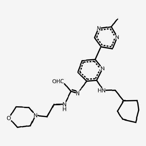 Cc1ncc(-c2ccc(/N=C(\C=O)NCCN3CCOCC3)c(NCC3CCCCC3)n2)cn1